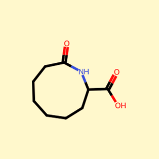 O=C1CCCCCCC(C(=O)O)N1